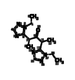 CCn1ncnc1C(C)C(=O)C(C)c1ncnn1CC